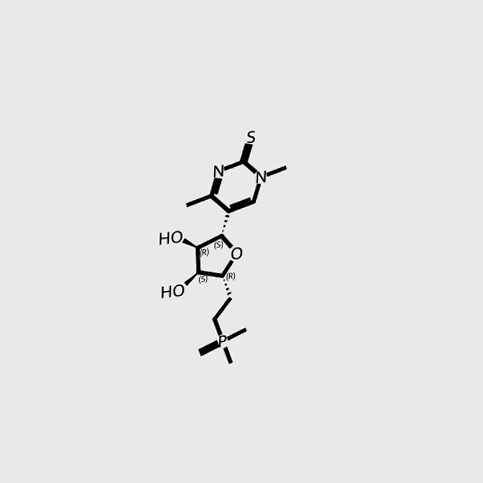 C=P(C)(C)CC[C@H]1O[C@@H](c2cn(C)c(=S)nc2C)[C@H](O)[C@@H]1O